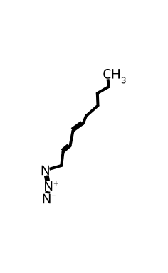 CCCCCC=CC=CCN=[N+]=[N-]